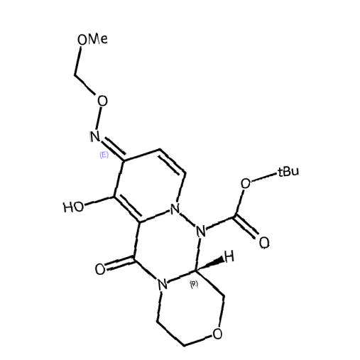 COCO/N=c1\ccn2c(c1O)C(=O)N1CCOC[C@H]1N2C(=O)OC(C)(C)C